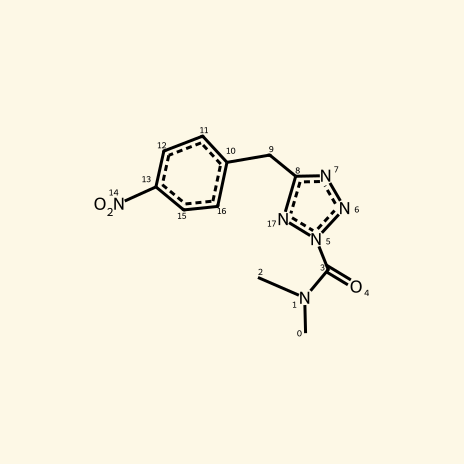 CN(C)C(=O)n1nnc(Cc2ccc([N+](=O)[O-])cc2)n1